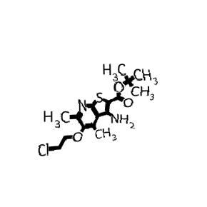 Cc1nc2sc(C(=O)OC(C)(C)C)c(N)c2c(C)c1OCCCl